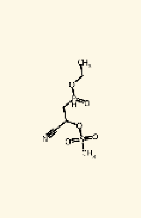 CCO[PH](=O)CC(C#N)OS(C)(=O)=O